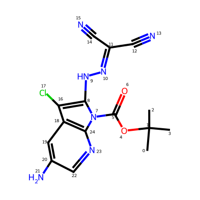 CC(C)(C)OC(=O)n1c(NN=C(C#N)C#N)c(Cl)c2cc(N)cnc21